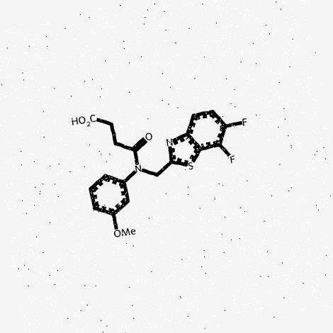 COc1cccc(N(Cc2nc3ccc(F)c(F)c3s2)C(=O)CCC(=O)O)c1